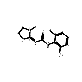 Cc1cccc(C(F)(F)F)c1NC(=O)N=C1SCCN1C